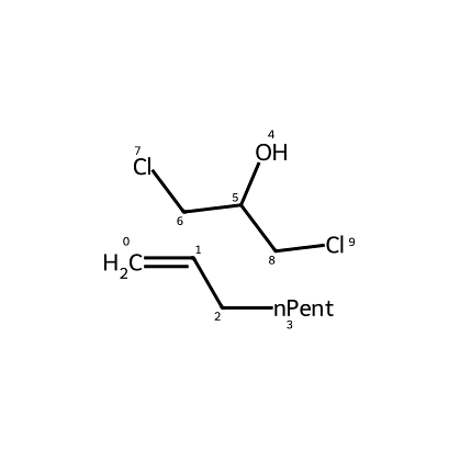 C=CCCCCCC.OC(CCl)CCl